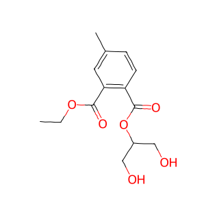 CCOC(=O)c1cc(C)ccc1C(=O)OC(CO)CO